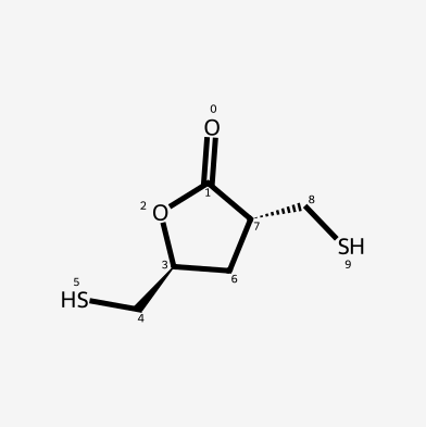 O=C1O[C@H](CS)C[C@H]1CS